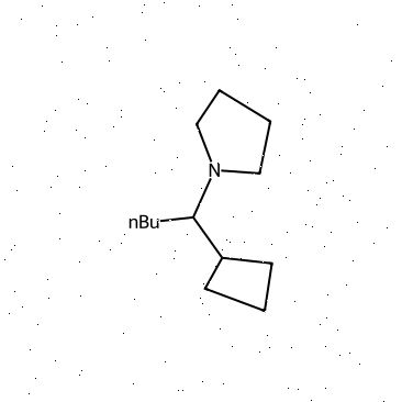 [CH2]CCCC(C1CCC1)N1CCCC1